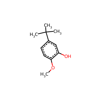 COc1ccc(C(C)(C)C)cc1O